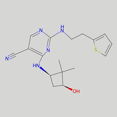 CC1(C)[C@@H](O)C[C@H]1Nc1nc(NCCc2cccs2)ncc1C#N